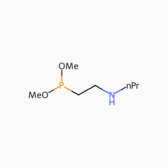 CCCNCCP(OC)OC